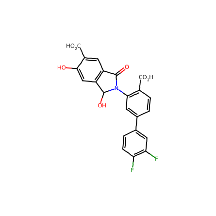 O=C(O)c1cc2c(cc1O)C(O)N(c1cc(-c3ccc(F)c(F)c3)ccc1C(=O)O)C2=O